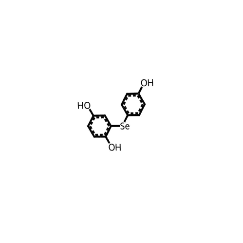 Oc1ccc([Se]c2cc(O)ccc2O)cc1